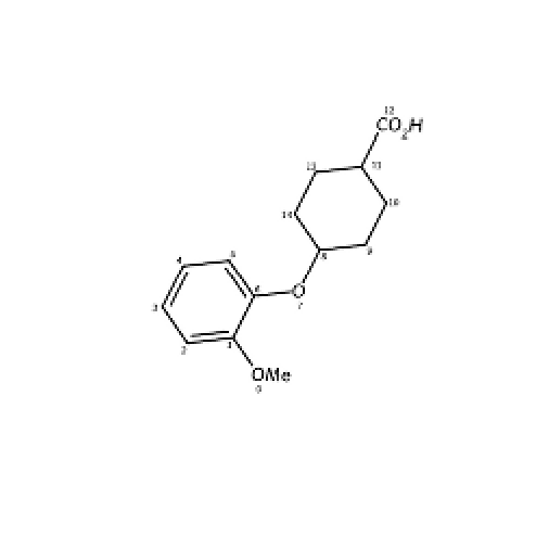 COc1ccccc1OC1CCC(C(=O)O)CC1